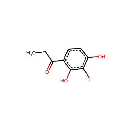 CCC(=O)c1ccc(O)c(I)c1O